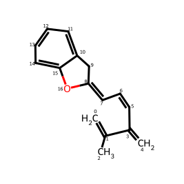 C=C(C)C(=C)/C=C\C=C1/Cc2ccccc2O1